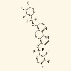 Fc1ccc(C(F)(F)Oc2ccnc3c2ccc2c(OC(F)(F)c4ccc(F)c(F)c4F)ccnc23)c(F)c1F